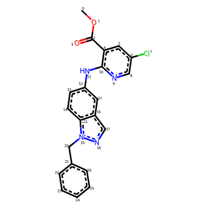 COC(=O)c1cc(Cl)cnc1Nc1ccc2c(cnn2Cc2ccccc2)c1